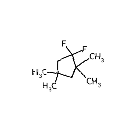 CC1(C)CC(C)(C)C(F)(F)C1